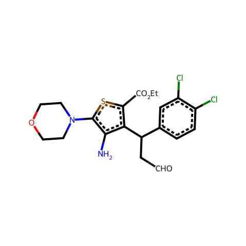 CCOC(=O)c1sc(N2CCOCC2)c(N)c1C(CC=O)c1ccc(Cl)c(Cl)c1